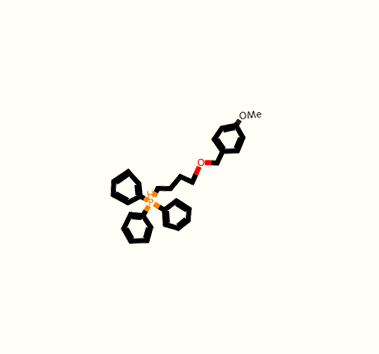 COc1ccc(COCCCC[PH](c2ccccc2)(c2ccccc2)c2ccccc2)cc1